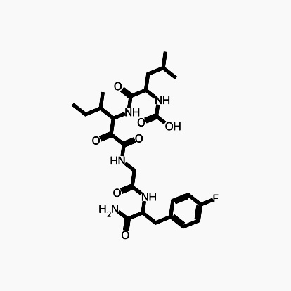 CCC(C)C(NC(=O)C(CC(C)C)NC(=O)O)C(=O)C(=O)NCC(=O)NC(Cc1ccc(F)cc1)C(N)=O